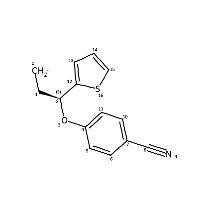 [CH2]C[C@H](Oc1ccc(C#N)cc1)c1cccs1